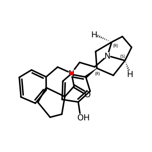 O=C(C1CCCC1)N(CCN1[C@@H]2CC[C@H]1C[C@@H](c1cccc(O)c1)C2)Cc1ccccc1